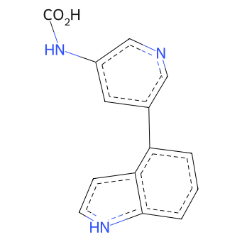 O=C(O)Nc1cncc(-c2cccc3[nH]ccc23)c1